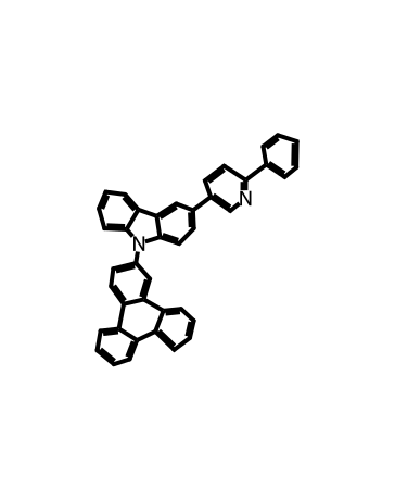 c1ccc(-c2ccc(-c3ccc4c(c3)c3ccccc3n4-c3ccc4c5ccccc5c5ccccc5c4c3)cn2)cc1